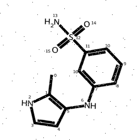 Cc1[nH]ccc1Nc1cccc(S(N)(=O)=O)c1